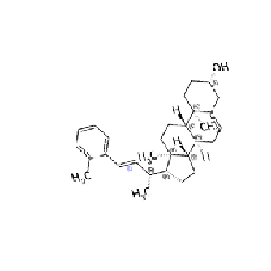 Cc1ccccc1/C=C/[C@@H](C)[C@H]1CC[C@H]2[C@@H]3CC=C4C[C@@H](O)CC[C@]4(C)[C@H]3CC[C@]12C